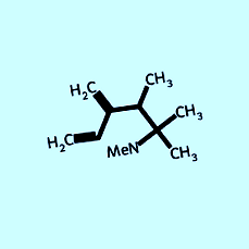 C=CC(=C)C(C)C(C)(C)NC